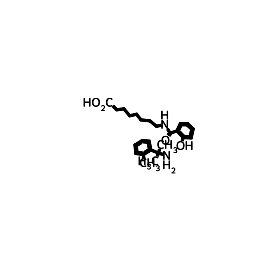 Cc1ccccc1C(C)(C)N.O=C(O)CCCCCCCNC(=O)c1ccccc1O